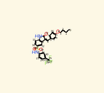 CCCCOc1ccc(C=C2C(=O)Nc3ccc(S(=O)(=O)Nc4ccc(C(F)(F)F)cc4)cc32)cc1